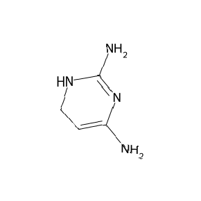 NC1=CCNC(N)=N1